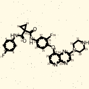 O=C(Nc1ccc(F)cc1)C1(C(=O)Nc2ccc(Oc3ccnc4ncc(N5CCNCC5)nc34)c(F)c2)CC1